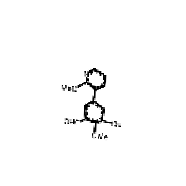 COc1ncccc1-c1cc(C=O)c(OC)c(C(C)(C)C)c1